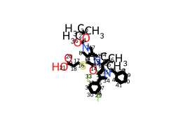 CC(C)(C)OC(=O)N1CCC(CN(C(=O)CSCCC(=O)O)[C@@H](c2cc(-c3cc(F)ccc3F)cn2Cc2ccccc2)C(C)(C)C)C1